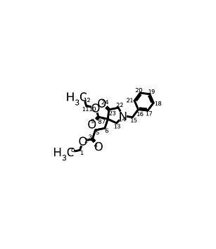 CCOC(=O)CCC1(C(=O)OCC)CN(Cc2ccccc2)CC1=O